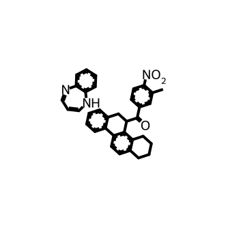 C1=CNc2ccccc2N=C1.Cc1cc(C(=O)C2Cc3ccccc3-c3ccc4c(c32)CCCC4)ccc1[N+](=O)[O-]